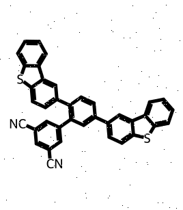 N#Cc1cc(C#N)cc(-c2cc(-c3ccc4sc5ccccc5c4c3)ccc2-c2ccc3sc4ccccc4c3c2)c1